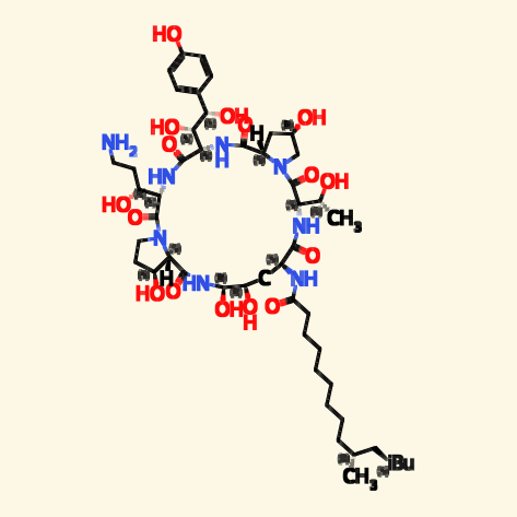 CC[C@H](C)C[C@H](C)CCCCCCCCC(=O)N[C@H]1C[C@@H](O)[C@@H](O)NC(=O)[C@@H]2[C@@H](O)CCN2C(=O)[C@H]([C@H](O)CCN)NC(=O)[C@H]([C@H](O)[C@@H](O)c2ccc(O)cc2)NC(=O)[C@@H]2C[C@@H](O)CN2C(=O)[C@H]([C@@H](C)O)NC1=O